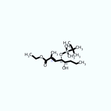 CCC[C@H](O)[C@H](/C=C(\C)C(=O)OCC)O[Si](C)(C)C(C)(C)C